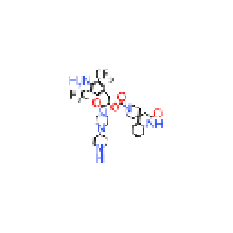 Nc1c(C(F)(F)F)cc(C[C@@H](OC(=O)N2CCC3(CC2)CC(=O)Nc2ccccc23)C(=O)N2CCN(C3CCNCC3)CC2)cc1C(F)(F)F